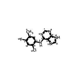 Cc1cc(Nc2ncnc3[nH]cnc23)c(Cl)cc1F